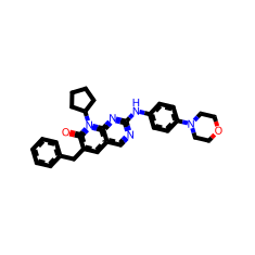 O=c1c(Cc2ccccc2)cc2cnc(Nc3ccc(N4CCOCC4)cc3)nc2n1C1CCCC1